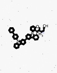 C#C/C=C\C1=C(C)c2c(cccc2-n2c3c(c4cc(-c5ccc6c7ccccc7n(-c7ccc(-c8ccccc8)cc7)c6c5)ccc42)C=CCC3)OC1